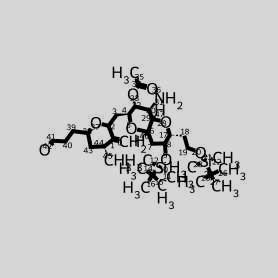 C=C1C(C[C@@H]2O[C@H]3CC(O[Si](C)(C)C(C)(C)C)[C@@H](CCO[Si](C)(C)C(C)(C)C)O[C@H]3[C@H](N)[C@H]2OC(C)=O)OC(CCC=O)C[C@H]1C